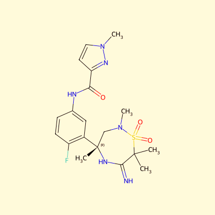 CN1C[C@@](C)(c2cc(NC(=O)c3ccn(C)n3)ccc2F)NC(=N)C(C)(C)S1(=O)=O